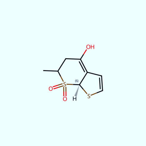 CC1CC(O)=C2C=CS[C@H]2S1(=O)=O